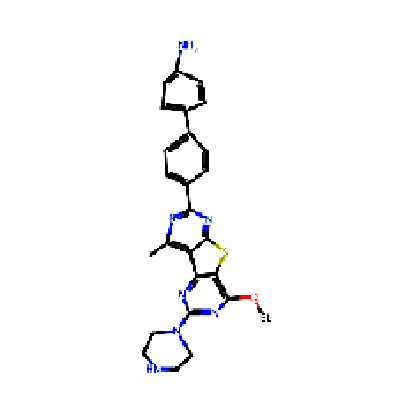 CCOc1nc(N2CCNCC2)nc2c1sc1nc(-c3ccc(-c4ccc(N)cc4)cc3)nc(C)c12